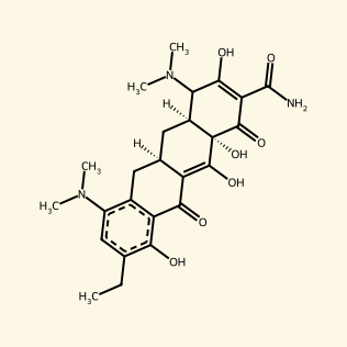 CCc1cc(N(C)C)c2c(c1O)C(=O)C1=C(O)[C@]3(O)C(=O)C(C(N)=O)=C(O)C(N(C)C)[C@@H]3C[C@@H]1C2